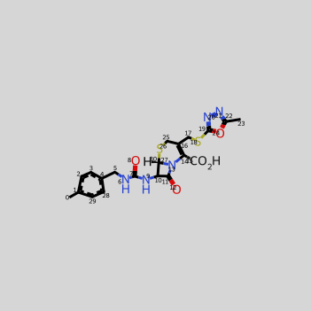 Cc1ccc(CNC(=O)NC2C(=O)N3C(C(=O)O)=C(CSc4nnc(C)o4)CS[C@@H]23)cc1